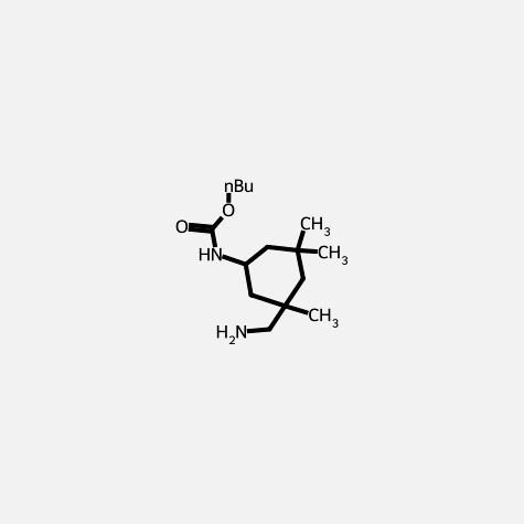 CCCCOC(=O)NC1CC(C)(C)CC(C)(CN)C1